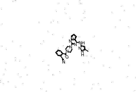 Cc1cc(Nc2nc(N3CCN(C(=O)c4ccccc4C#N)CC3)nn3cccc23)n[nH]1